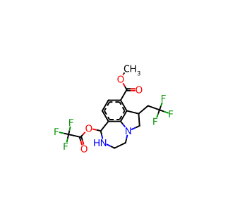 COC(=O)c1ccc2c3c1C(CC(F)(F)F)CN3CCNC2OC(=O)C(F)(F)F